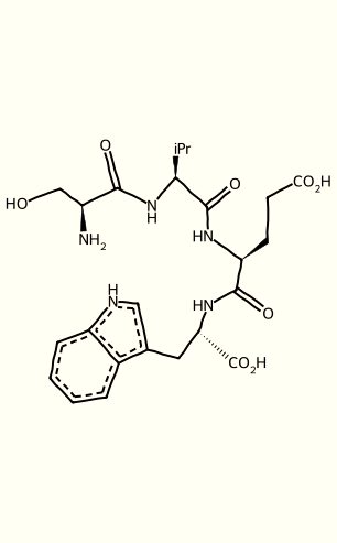 CC(C)[C@H](NC(=O)[C@@H](N)CO)C(=O)N[C@@H](CCC(=O)O)C(=O)N[C@@H](Cc1c[nH]c2ccccc12)C(=O)O